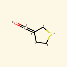 O=C=C1CCSC1